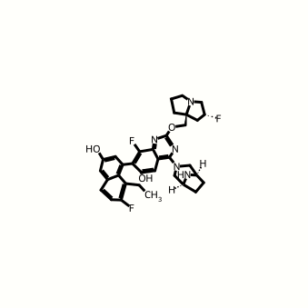 CCc1c(F)ccc2cc(O)cc(-c3c(O)cc4c(N5C[C@H]6CC[C@@H](C5)N6)nc(OC[C@@]56CCCN5C[C@H](F)C6)nc4c3F)c12